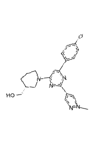 Cn1cc(-c2nc(-c3ccc(Cl)cc3)cc(N3CCC[C@@H](CO)C3)n2)cn1